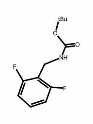 CC(C)(C)OC(=O)NCc1c(F)cccc1F